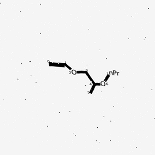 C=COCC(C)OCCC